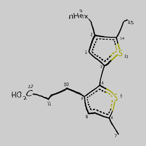 CCCCCCc1cc(-c2sc(C)cc2CCC(=O)O)sc1C